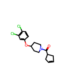 O=C(C1CC=CC1)N1CCC(Oc2ccc(Cl)c(Cl)c2)CC1